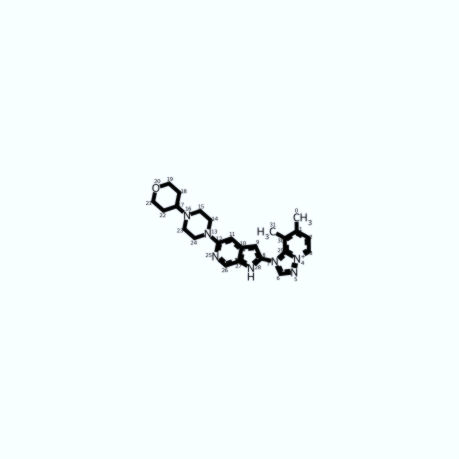 Cc1cc[n+]2ncn(-c3cc4cc(N5CCN(C6CCOCC6)CC5)ncc4[nH]3)c2c1C